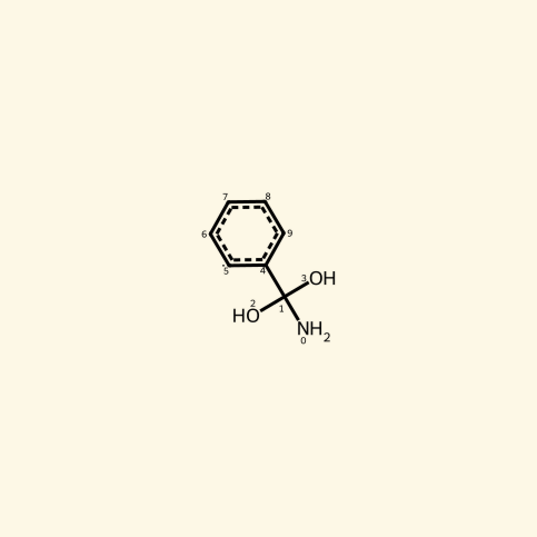 NC(O)(O)c1[c]cccc1